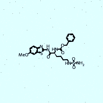 COc1ccc2nc(NC(=O)[C@H](CCCCNS(N)(=O)=O)NC(=O)OCc3ccccc3)sc2c1